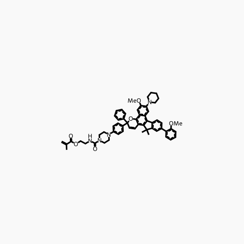 C=C(C)C(=O)OCCNC(=O)N1CCN(c2ccc(C3(c4ccccc4)C=Cc4c5c(c6cc(N7CCCCC7)c(OC)cc6c4O3)-c3ccc(-c4ccccc4OC)cc3C5(C)C)cc2)CC1